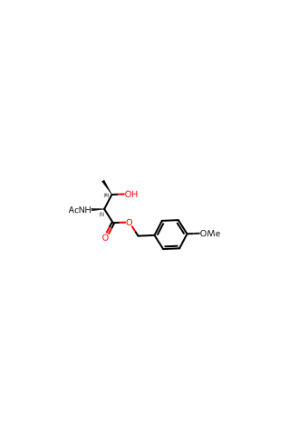 COc1ccc(COC(=O)[C@@H](NC(C)=O)[C@@H](C)O)cc1